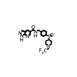 O=C(NCc1ccc([S+]([O-])C2CCN(CC(F)(F)F)CC2)cc1)c1cnc2[nH]ncc2c1